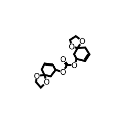 O=C(OC1C=CCC2(C1)OCCO2)OC1C=CCC2(C1)OCCO2